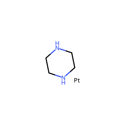 C1CNCCN1.[Pt]